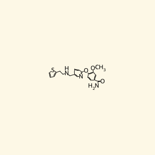 COc1cc(C(N)=O)ccc1Oc1ccc(CNCCc2cccs2)cn1